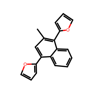 Cc1cc(-c2ccco2)c2ccccc2c1-c1ccco1